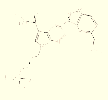 CCCNC(=O)c1cn(COCC[Si](C)(C)C)c2ncc(-c3n[nH]c4ccc(CC=O)cc34)nc12